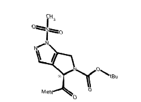 CNC(=O)[C@H]1c2cnn(S(C)(=O)=O)c2CN1C(=O)OC(C)(C)C